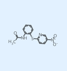 CC(=O)Nc1ccccc1Sc1ccc([N+](=O)[O-])cn1